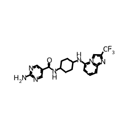 Nc1ncc(C(=O)NC2CCC(Nc3cccc4nc(C(F)(F)F)cn34)CC2)cn1